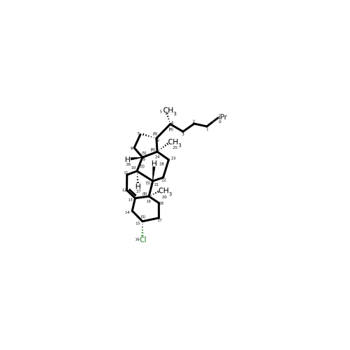 CC(C)CCC[C@@H](C)[C@H]1CC[C@H]2[C@@H]3CC=C4C[C@@H](Cl)CC[C@]4(C)[C@H]3CC[C@]12C